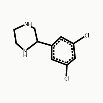 Clc1cc(Cl)cc(C2CNCCN2)c1